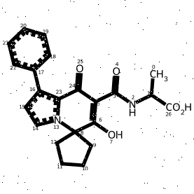 CC(NC(=O)C1=C(O)C2(CCCC2)n2ccc(-c3ccccc3)c2C1=O)C(=O)O